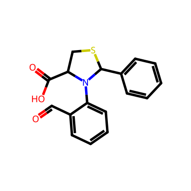 O=Cc1ccccc1N1C(C(=O)O)CSC1c1ccccc1